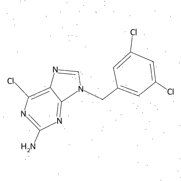 Nc1nc(Cl)c2ncn(Cc3cc(Cl)cc(Cl)c3)c2n1